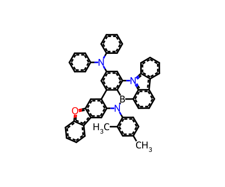 Cc1ccc(N2B3c4c(cc(N(c5ccccc5)c5ccccc5)cc4-n4c5ccccc5c5cccc3c54)-c3cc4oc5ccccc5c4cc32)c(C)c1